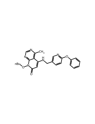 CCCCOn1c(=O)cc(NCc2ccc(Oc3ccccc3)nc2)c2c(C)ncnc21